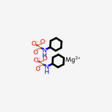 O=S(=O)([O-])NC1CCCCC1.O=S(=O)([O-])NC1CCCCC1.[Mg+2]